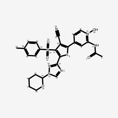 CC(=O)Nc1cc(-c2sc(-c3ncn(C4CCCCO4)n3)c(S(=O)(=O)c3ccc(C)cc3)c2C#N)cc[n+]1O